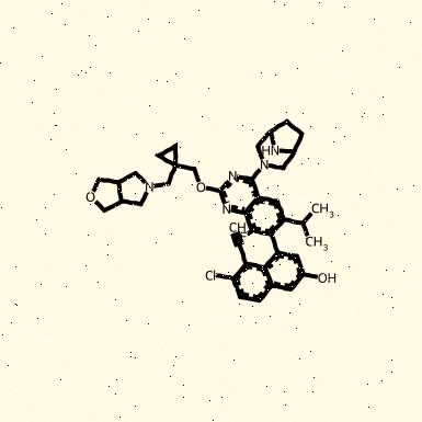 C#Cc1c(Cl)ccc2cc(O)cc(-c3c(C(C)C)cc4c(N5CC6CCC(C5)N6)nc(OCC5(CN6CC7COCC7C6)CC5)nc4c3F)c12